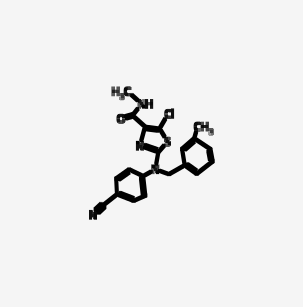 CNC(=O)c1nc(N(Cc2cccc(C)c2)c2ccc(C#N)cc2)sc1Cl